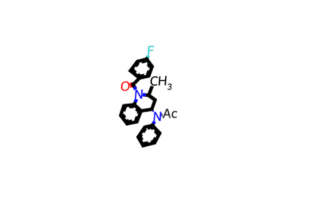 CC(=O)N(c1ccccc1)[C@H]1CC(C)N(C(=O)c2ccc(F)cc2)c2ccccc21